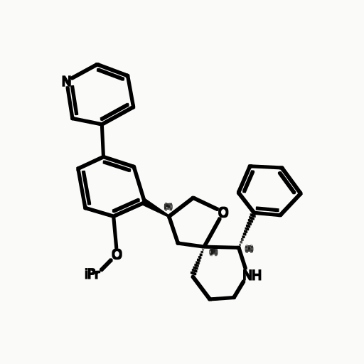 CC(C)Oc1ccc(-c2cccnc2)cc1[C@H]1CO[C@]2(CCCN[C@H]2c2ccccc2)C1